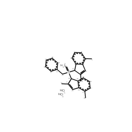 CC1=Cc2c(C)cccc2[CH]1[Ti](=[SiH2])([CH2]c1ccccc1)[CH]1C(C)=Cc2c(C)cccc21.Cl.Cl